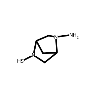 NN1CC2CC1CN2S